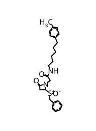 Cc1ccc(CCCCCCNC(=O)CN2C(=O)CC2[S+]([O-])Cc2ccccc2)cc1